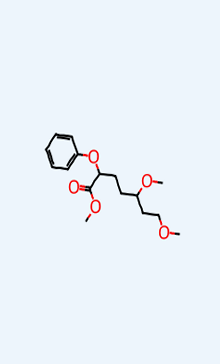 COCCC(CCC(Oc1ccccc1)C(=O)OC)OC